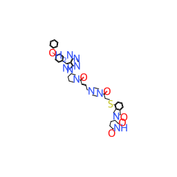 Nc1ncnc2c1c(-c1ccc(Oc3ccccc3)cc1)nn2C1CCCN(C(=O)/C=C/CN2CCN(C(=O)CCSc3cccc4c3CN(C3CCC(=O)NC3=O)C4=O)CC2)C1